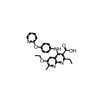 CCOc1cc2c(Nc3ccc(Oc4ccccn4)cc3)c(C(=O)O)c(CC)nc2nc1C